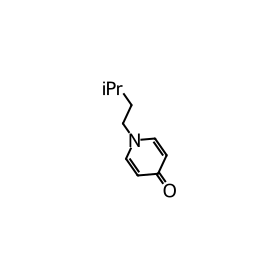 CC(C)CCn1ccc(=O)cc1